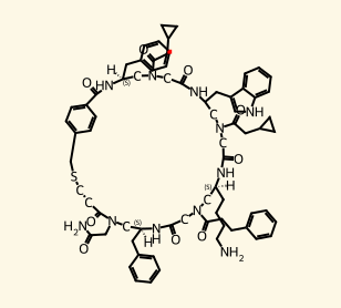 NCCCC[C@H]1CN(C(=O)CCc2ccccc2)CC(=O)N[C@@H](Cc2ccccc2)CN(CC(N)=O)C(=O)CCSCc2ccc(cc2)C(=O)N[C@@H](Cc2ccccc2)CN(C(=O)CC2CC2)CC(=O)NC(Cc2c[nH]c3ccccc23)CN(C(=O)CC2CC2)CC(=O)N1